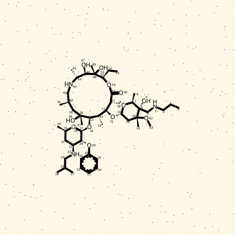 CCCNC[C@]1(O)[C@H](C)O[C@@H](O[C@H]2[C@H](C)[C@@H](O[C@@H]3O[C@H](C)C[C@H](NCC(C)C)[C@H]3Oc3ccccc3)[C@](C)(O)C[C@@H](C)CN[C@H](C)[C@@H](O)[C@](C)(O)[C@@H](CC)OC(=O)[C@@H]2C)C[C@@]1(C)OC